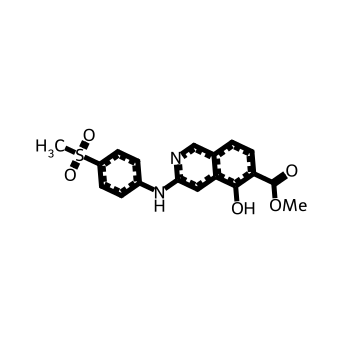 COC(=O)c1ccc2cnc(Nc3ccc(S(C)(=O)=O)cc3)cc2c1O